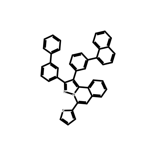 c1ccc(-c2cccc(-c3nn4c(-c5cccs5)cc5ccccc5c4c3-c3cccc(-c4cccc5ccccc45)c3)c2)cc1